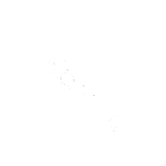 CC1(C)Oc2ccc(CCCCCCC(=O)O)cc2O1